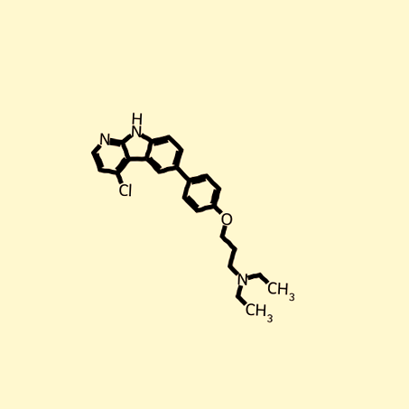 CCN(CC)CCCOc1ccc(-c2ccc3[nH]c4nccc(Cl)c4c3c2)cc1